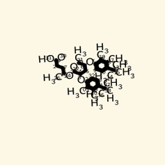 Cc1c(O[C@@H]2C[C@@H](Oc3ccc(C(C)(C)C)c(C)c3C)[C@H](C)O[C@H]2O[C@H](C)CCC(=O)O)ccc(C(C)(C)C)c1C